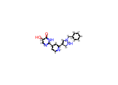 O=c1[nH]c(-c2ccnc(C3=CN(Cc4ccccc4)NC3)c2)ncc1O